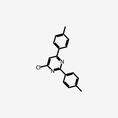 Cc1ccc(-c2cc(Cl)nc(-c3ccc(C)cc3)n2)cc1